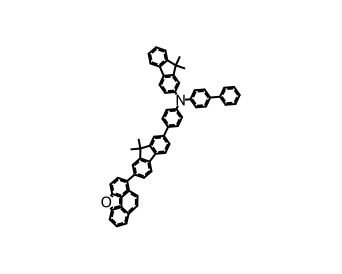 CC1(C)c2cc(-c3ccc(N(c4ccc(-c5ccccc5)cc4)c4ccc5c(c4)C(C)(C)c4ccccc4-5)cc3)ccc2-c2ccc(-c3ccc4oc5cccc6ccc3c4c65)cc21